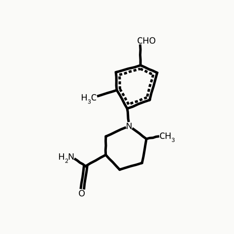 Cc1cc(C=O)ccc1N1CC(C(N)=O)CCC1C